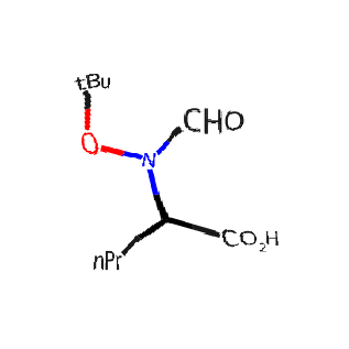 CCCC(C(=O)O)N(C=O)OC(C)(C)C